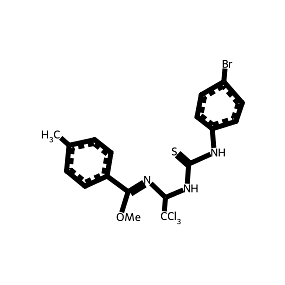 CO/C(=N\C(NC(=S)Nc1ccc(Br)cc1)C(Cl)(Cl)Cl)c1ccc(C)cc1